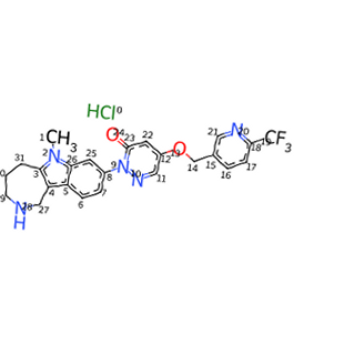 Cl.Cn1c2c(c3ccc(-n4ncc(OCc5ccc(C(F)(F)F)nc5)cc4=O)cc31)CNCCC2